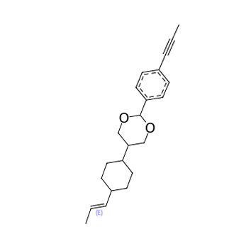 CC#Cc1ccc(C2OCC(C3CCC(/C=C/C)CC3)CO2)cc1